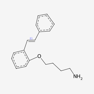 NCCCCOc1ccccc1/C=C/c1ccccc1